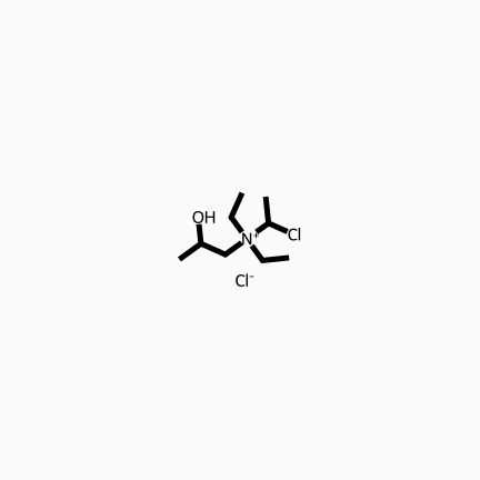 CC[N+](CC)(CC(C)O)C(C)Cl.[Cl-]